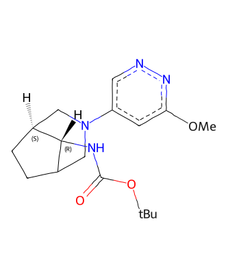 COc1cc(N2CC3CC[C@@H](C2)[C@@H]3NC(=O)OC(C)(C)C)cnn1